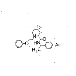 CC(=O)c1ccc([C@H](C)NC(=O)[C@H]2CC3(CCN2CCOc2ccccc2)CC3)cc1